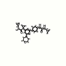 CN(C(=O)C1(c2cc(N3CCOCC3)nc(-c3ccc(NC(=O)NC4CC4)cc3)n2)CC1)C1CC1